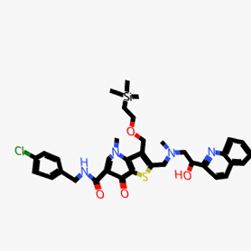 CN(Cc1sc2c(=O)c(C(=O)NCc3ccc(Cl)cc3)cn(C)c2c1COCC[Si](C)(C)C)CC(O)c1ccc2ccccc2n1